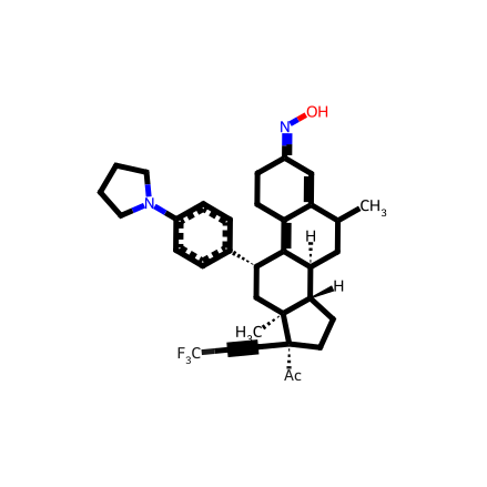 CC(=O)[C@@]1(C#CC(F)(F)F)CC[C@H]2[C@@H]3CC(C)C4=CC(=NO)CCC4=C3[C@@H](c3ccc(N4CCCC4)cc3)C[C@@]21C